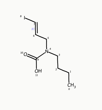 CCCCN(C/C=C/I)C(=O)O